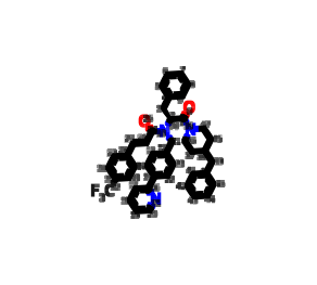 O=C([C@H](Cc1ccccc1)N(Cc1ccc(-c2ccccn2)cc1)C(=O)C=Cc1ccc(C(F)(F)F)cc1)N1CCC(Cc2ccccc2)CC1